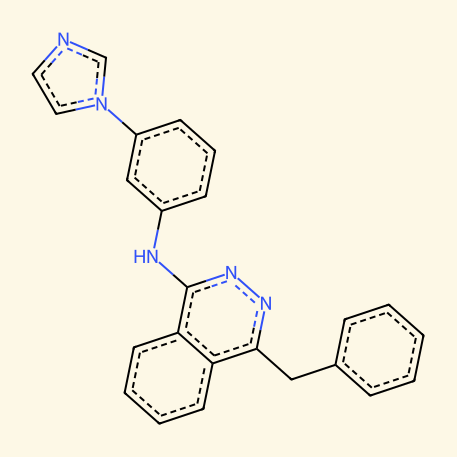 c1ccc(Cc2nnc(Nc3cccc(-n4ccnc4)c3)c3ccccc23)cc1